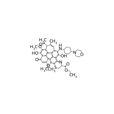 CCOC(=O)C1CSc2c(OC)c3c4c5c(c(O)c(OC)c6c5c5c(c(NC7CCC(N8CCOCC8)CC7)c(O)c(c2=N1)c35)C=C(C)C6C(C)=O)C(=O)C=C4OC